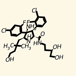 CC(C)(CCO)C[C@@H]1N[C@@H](C(=O)NCC[C@H](O)CO)[C@H](c2cccc(Cl)c2F)[C@@]1(N)c1ccc(Cl)cc1F